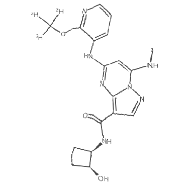 [2H]C([2H])([2H])Oc1ncccc1Nc1cc(NC)n2ncc(C(=O)N[C@@H]3CC[C@@H]3O)c2n1